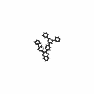 c1ccc(-c2nc(-c3ccccc3)nc(-c3ccc(-c4nc5ccccc5nc4-c4ccc5c(n4)sc4ccccc45)cc3)n2)cc1